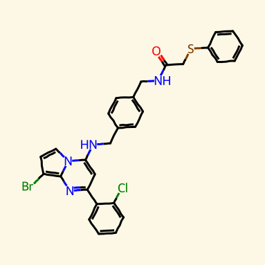 O=C(CSc1ccccc1)NCc1ccc(CNc2cc(-c3ccccc3Cl)nc3c(Br)ccn23)cc1